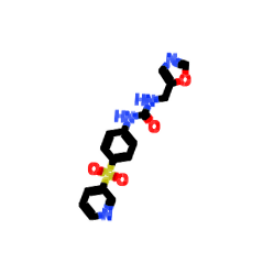 O=C(NCc1cnco1)Nc1ccc(S(=O)(=O)c2cccnc2)cc1